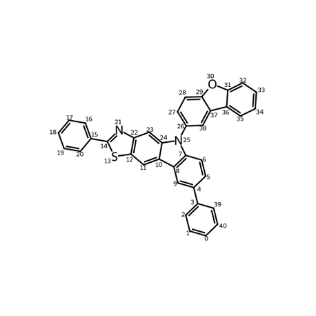 c1ccc(-c2ccc3c(c2)c2cc4sc(-c5ccccc5)nc4cc2n3-c2ccc3oc4ccccc4c3c2)cc1